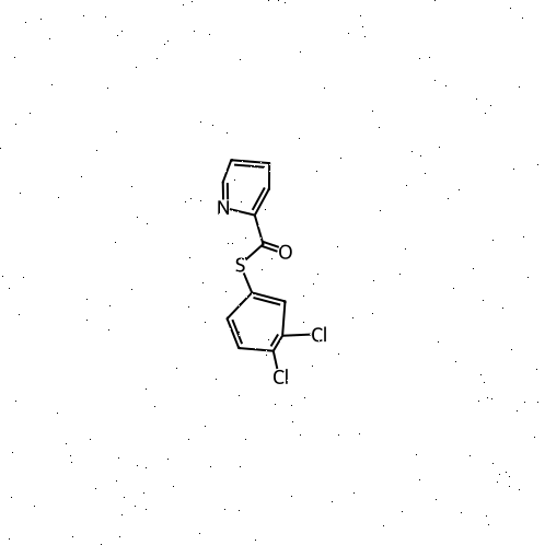 O=C(Sc1ccc(Cl)c(Cl)c1)c1ccccn1